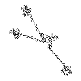 CC(=O)N[C@H]1[C@@H]2OC[C@](COCCOCCOCCOCCn3cc(COCC(COCc4cn(CCOCCOCCOCCOC[C@@]56CO[C@H](O5)[C@H](NC(C)=O)C5OC(C)(C)O[C@H]56)nn4)(COCc4cn(CCOCCOCCOCCOC[C@@]56CO[C@@H](O5)[C@H](NC(C)=O)[C@H]5OC(C)(C)O[C@H]56)nn4)NC(=O)OC(C)(C)C)nn3)(O2)[C@@H]2OC(C)(C)O[C@H]12